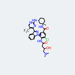 CN(C)CC(O)CC(=O)Nc1ccc(C(=O)N[C@@]2(C)CCC[C@@H](Nc3ncc(C(F)(F)F)c(-c4n[nH]c5ccccc45)n3)C2)cc1Cl